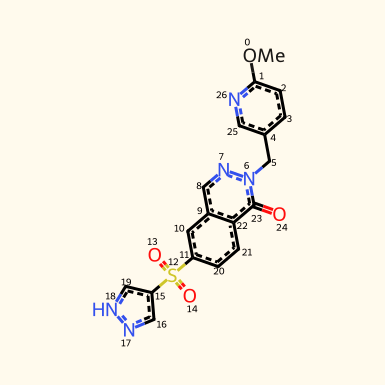 COc1ccc(Cn2ncc3cc(S(=O)(=O)c4cn[nH]c4)ccc3c2=O)cn1